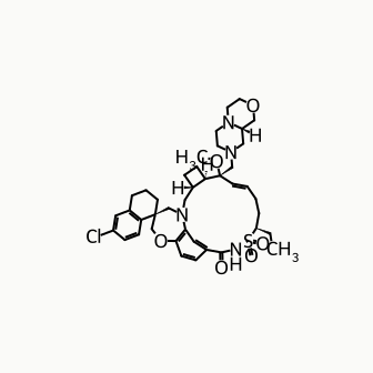 CC[C@@H]1CC/C=C/[C@@](CN2CCN3CCOC[C@@H]3C2)(OC)[C@@H]2CC[C@H]2CN2C[C@@]3(CCCc4cc(Cl)ccc43)COc3ccc(cc32)C(=O)NS1(=O)=O